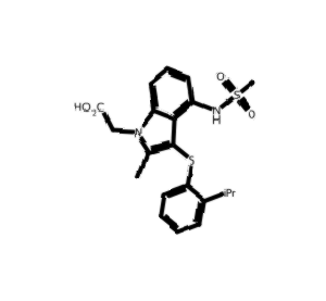 Cc1c(Sc2ccccc2C(C)C)c2c(NS(C)(=O)=O)cccc2n1CC(=O)O